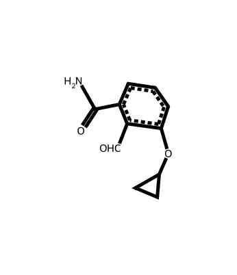 NC(=O)c1cccc(OC2CC2)c1C=O